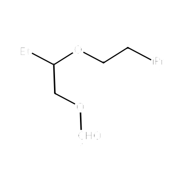 CCC(COC=O)OCCC(C)C